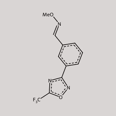 CO/N=C/c1cccc(-c2noc(C(F)(F)F)n2)c1